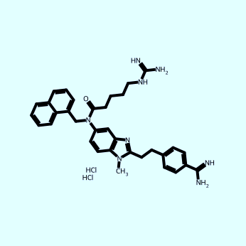 Cl.Cl.Cn1c(CCc2ccc(C(=N)N)cc2)nc2cc(N(Cc3cccc4ccccc34)C(=O)CCCCNC(=N)N)ccc21